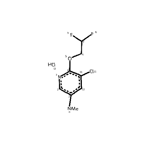 CNc1cnc(OCC(F)F)c(Cl)c1.Cl